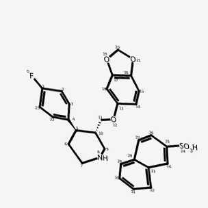 Fc1ccc([C@@H]2CCNC[C@H]2COc2ccc3c(c2)OCO3)cc1.O=S(=O)(O)c1ccc2ccccc2c1